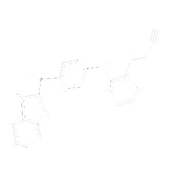 C#CCOc1nccnc1Oc1ccc(C(=O)c2nc3ccccc3[nH]2)cc1